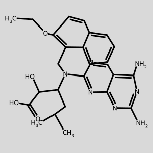 CCOc1ccc2ccccc2c1CN(c1ncc2c(N)nc(N)nc2n1)C(CC(C)C)C(O)C(=O)O